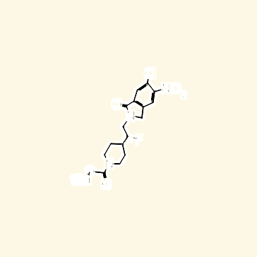 CC(C)(C)OC(=O)N1CCC([C@H](F)CN2Cc3cc([N+](=O)[O-])c(Cl)cc3C2=O)CC1